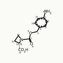 Nc1ccc(COC(=O)N2CC[C@H]2C(=O)O)cc1